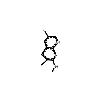 CNc1nc2ncc(Br)cc2cc1C